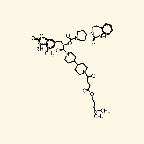 Cc1cc(C[C@@H](OC(=O)N2CCC(N3CCc4ccccc4NC3=O)CC2)C(=O)N2CCC(C3CCN(C(=O)CCC(=O)OCCCN(C)C)CC3)CC2)cc2oc(=O)n(C)c12